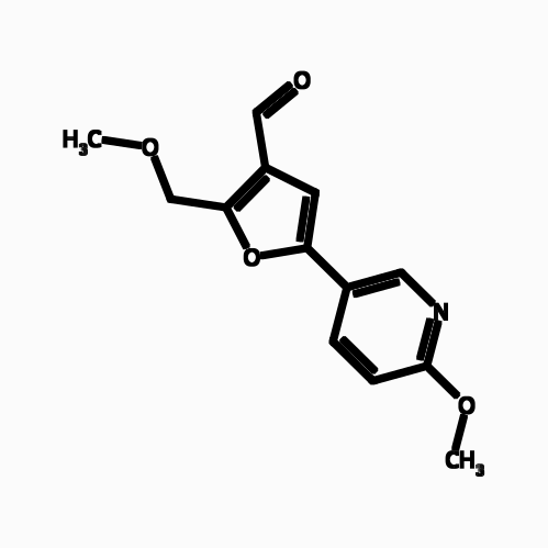 COCc1oc(-c2ccc(OC)nc2)cc1C=O